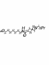 CC(C)CN1CC2(CC(C(=O)NCCCCCCCOC(C)C)C2)C1